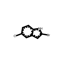 Clc1ccc2[nH]c(Br)cc2c1